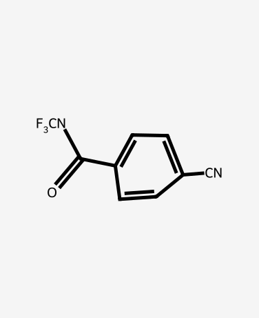 N#Cc1ccc(C(=O)NC(F)(F)F)cc1